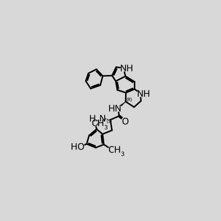 Cc1cc(O)cc(C)c1C[C@H](N)C(=O)N[C@@H]1CCNc2cc3[nH]cc(-c4ccccc4)c3cc21